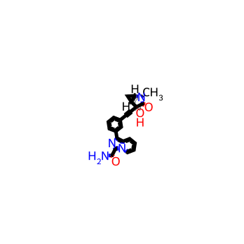 CN1C(=O)[C@](O)(C#Cc2cccc(-c3nc(C(N)=O)n4ccccc34)c2)[C@@H]2C[C@@H]21